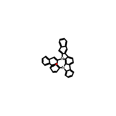 c1ccc(-n2c3ccccc3c3ccc4c5cc6ccccc6cc5n(-c5ccc6ccccc6c5)c4c32)cc1